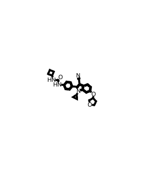 N#Cc1c(-c2ccc(NC(=O)NC3CCC3)cc2)n(C2CC2)c2cc(OC3CCOC3)ccc12